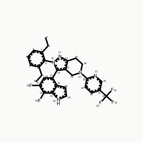 CCc1cccc(CC)c1-n1nc2c(c1-c1cc(F)c(F)c3[nH]ccc13)CN(c1ccc(C(F)(F)F)cn1)CC2